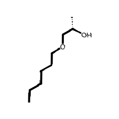 CCCCCCOC[C@H](C)O